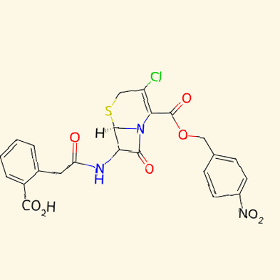 O=C(Cc1ccccc1C(=O)O)NC1C(=O)N2C(C(=O)OCc3ccc([N+](=O)[O-])cc3)=C(Cl)CS[C@H]12